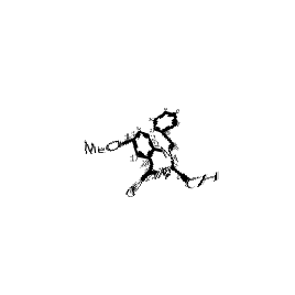 C#CC(=O)N(Cc1ccccc1)c1ccc(OC)cc1C(=O)C(C)C